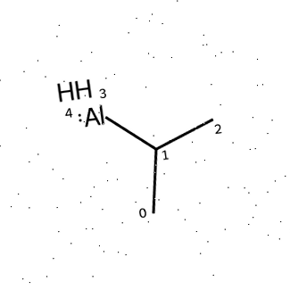 C[CH](C)[Al].[HH]